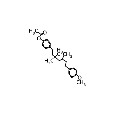 COc1ccc(CCC(C)CC(C)(C)CCc2ccc(OC(C)=O)cc2)cc1